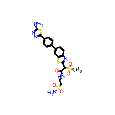 CS(=O)(=O)C(C(=O)NCCS(N)(=O)=O)c1nc2ccc(-c3ccc(-c4nnc(N)s4)cc3)cc2s1